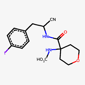 N#CC(Cc1ccc(I)cc1)NC(=O)C1(NC(=O)O)CCOCC1